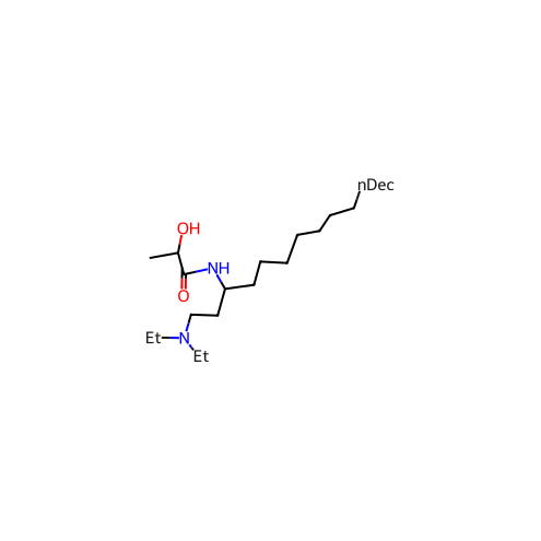 CCCCCCCCCCCCCCCCCC(CCN(CC)CC)NC(=O)C(C)O